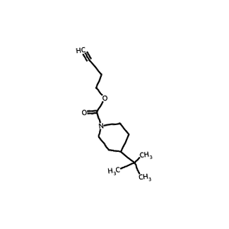 C#CCCOC(=O)N1CCC(C(C)(C)C)CC1